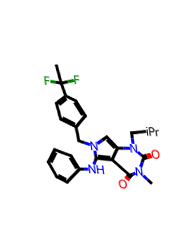 CC(C)Cn1c(=O)n(C)c(=O)c2c(Nc3ccccc3)n(Cc3ccc(C(C)(F)F)cc3)cc21